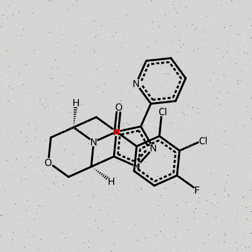 O=C(c1ccc(F)c(Cl)c1Cl)N1[C@H]2COC[C@@H]1c1nnc(-c3ccccn3)n1C2